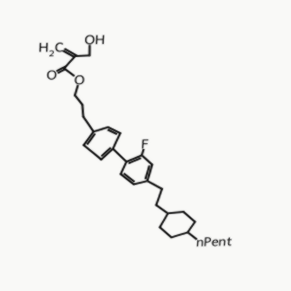 C=C(CO)C(=O)OCCCc1ccc(-c2ccc(CCC3CCC(CCCCC)CC3)cc2F)cc1